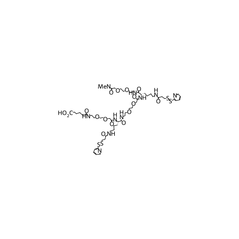 CNC(=O)COCCOCCNC(=O)[C@H](CCCCNC(=O)CCSSc1ccccn1)NC(=O)COCCOCCNC(=O)[C@H](CCCCNC(=O)CCSSc1ccccn1)NC(=O)COCCOCCNC(=O)CCCCC(=O)O